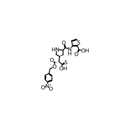 O=C(O)c1sccc1NC(=O)C1C[C@@H]([C@@H](C(=O)OCc2ccc([N+](=O)[O-])cc2)C(O)=S)CN1